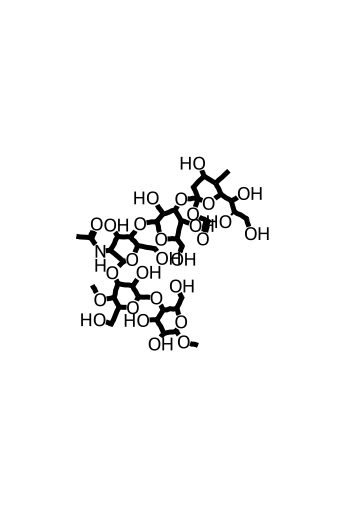 COC1OC(CO)C(OC2OC(CO)C(OC)C(OC3OC(CO)C(OC4OC(CO)C(O)C(OC5(OC=O)CC(O)C(C)C(C(O)[C@@H](O)CO)O5)C4O)C(O)C3NC(C)=O)C2O)C(O)C1O